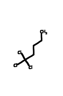 CCCCC(Cl)(Cl)Cl